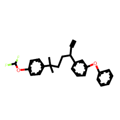 C#CC(CCC(C)(C)c1ccc(OC(F)F)cc1)c1cccc(Oc2ccccc2)c1